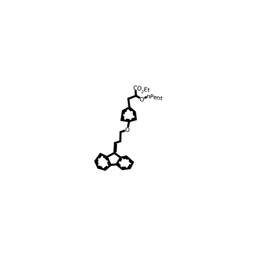 CCCCCOC(Cc1ccc(OCCC=C2c3ccccc3-c3ccccc32)cc1)C(=O)OCC